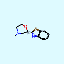 CN1CCO[C@H](c2nc3ccccc3s2)C1